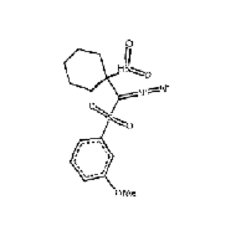 COc1cccc(S(=O)(=O)C(=[N+]=[N-])C2([SH](=O)=O)CCCCC2)c1